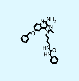 Cc1nc2c(N)nc3ccc(OCc4ccccc4)cc3c2n1CCCCNC(=O)Nc1ccccc1